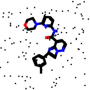 Cc1cccc(-c2cn3nccc(C(=O)Nc4cccc(N5CCOCC5)n4)c3n2)c1